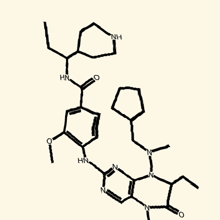 CCC(NC(=O)c1ccc(Nc2ncc3c(n2)N(N(C)CC2CCCC2)C(CC)C(=O)N3C)c(OC)c1)C1CCNCC1